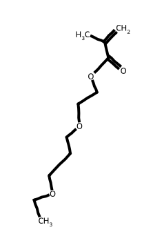 C=C(C)C(=O)OCCOCCCOCC